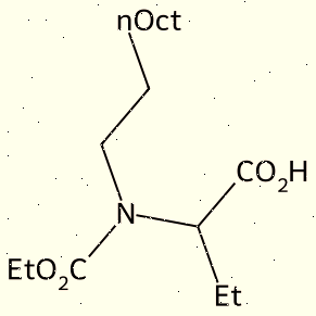 CCCCCCCCCCN(C(=O)OCC)C(CC)C(=O)O